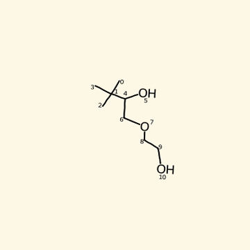 CC(C)(C)C(O)COCCO